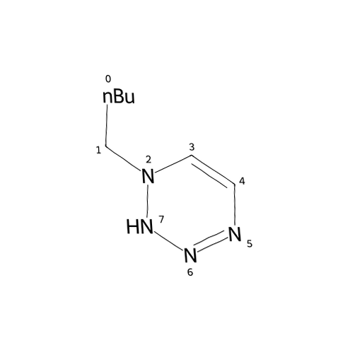 CCCCCN1C=CN=NN1